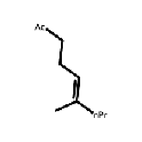 CCC/C(C)=C/CCC(C)=O